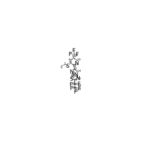 CCSc1cc(C(F)(F)F)cnc1-c1cn2nc(C(F)(F)C(F)(F)F)sc2n1